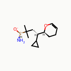 CC(C)(C[C@@H](C1CC1)[C@@H]1CCC=CO1)[S@@+](N)[O-]